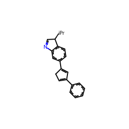 CC(C)C1C=Nc2cc(C3=CC(c4ccccc4)=CC3)ccc21